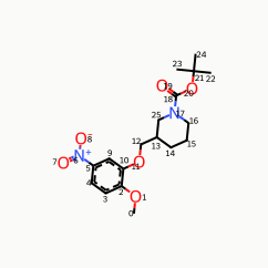 COc1ccc([N+](=O)[O-])cc1OCC1CCCN(C(=O)OC(C)(C)C)C1